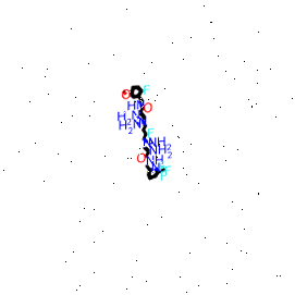 COc1ccc(F)c(CNC(=O)/C(N)=C/N(N)CCC(F)CN(N)/C=C(\N)C(=O)NCc2cccc(C(F)(F)F)n2)c1